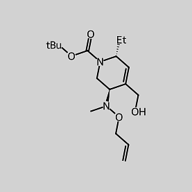 C=CCON(C)[C@H]1CN(C(=O)OC(C)(C)C)[C@H](CC)C=C1CO